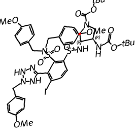 COc1ccc(CN2NN=C(c3c(I)ccc([S+]([O-])N[C@@H]4CN(C(=O)OC(C)(C)C)C[C@H]4NC(=O)OC(C)(C)C)c3S(=O)(=O)N(Cc3ccc(OC)cc3)Cc3ccc(OC)cc3)N2)cc1